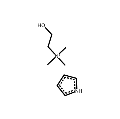 C[N+](C)(C)CCO.c1cc[nH]c1